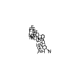 CCNC(=O)c1cc(C#N)cc(C)c1NC(=O)c1cc(Cn2nnc(C(F)(C(F)(F)F)C(F)(F)F)n2)nn1-c1ncccc1Cl